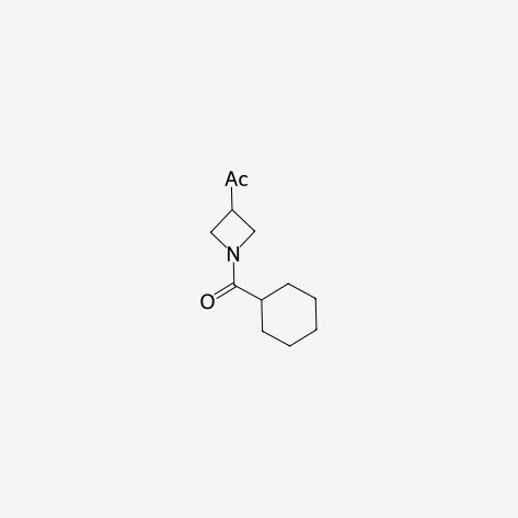 CC(=O)C1CN(C(=O)C2CCCCC2)C1